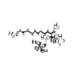 CCCCCCCCCCC(C)C(C)(C)N.O=S(=O)(O)O